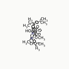 CCC(C)CN(c1ccc(C(C)CC)cc1)c1ccc(C2=C(O)/C(=C3C=C/C(=[N+](\CC(C)CC)c4ccc(C(C)CC)cc4)C=C\3NC(=O)C3=CC=CC3C)C2=O)c(NC(=O)C2=CC=CC2C)c1